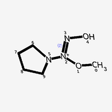 CO/[N+](=N\O)N1CCCC1